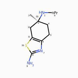 CCCN[C@@]1(C)CCc2nc(N)sc2C1